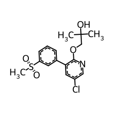 CC(C)(O)COc1ncc(Cl)cc1-c1cccc(S(C)(=O)=O)c1